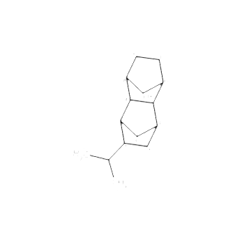 CC(C)C1CC2CC1C1C3CCC(C3)C21